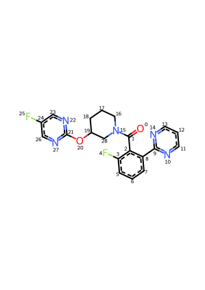 O=C(c1c(F)cccc1-c1ncccn1)N1CCCC(Oc2ncc(F)cn2)C1